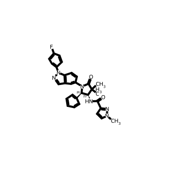 Cn1ccc(C(=O)N[C@@H]2[C@@H](c3ccccc3)N(c3ccc4c(cnn4-c4ccc(F)cc4)c3)C(=O)C2(C)C)n1